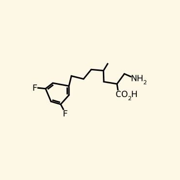 CC(CCCc1cc(F)cc(F)c1)CC(CN)C(=O)O